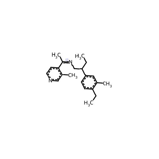 CCc1ccc(C(CC)C/N=C(/C)c2ccncc2C)cc1C